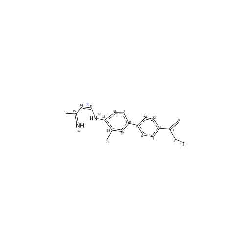 C=C(CC)c1ccc(-c2ccc(N/C=C\C(C)=N)c(C)c2)cc1